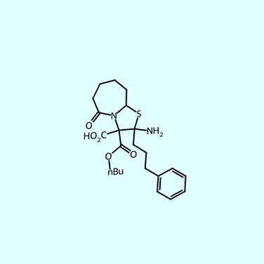 CCCCOC(=O)C1(C(=O)O)N2C(=O)CCCCC2SC1(N)CCCc1ccccc1